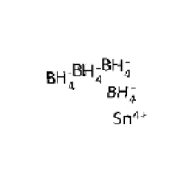 [BH4-].[BH4-].[BH4-].[BH4-].[Sn+4]